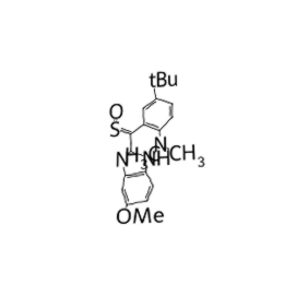 COc1ccc2[nH]c(C(=S=O)c3cc(C(C)(C)C)ccc3N(C)C)nc2c1